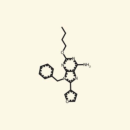 CCCCOc1nc(N)c2nc(-c3ccoc3)n(Cc3ccccc3)c2n1